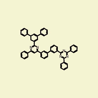 C1=C(c2ccccc2)C=C(c2nc(-c3ccccc3)cc(-c3cccc(-c4cccc(-c5nc(-c6ccccc6)nc(-c6ccccc6)n5)c4)c3)n2)CC1c1ccccc1